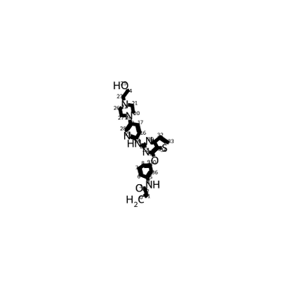 C=CC(=O)Nc1cccc(Oc2nc(Nc3ccc(N4CCN(CCO)CC4)cn3)nc3ccsc23)c1